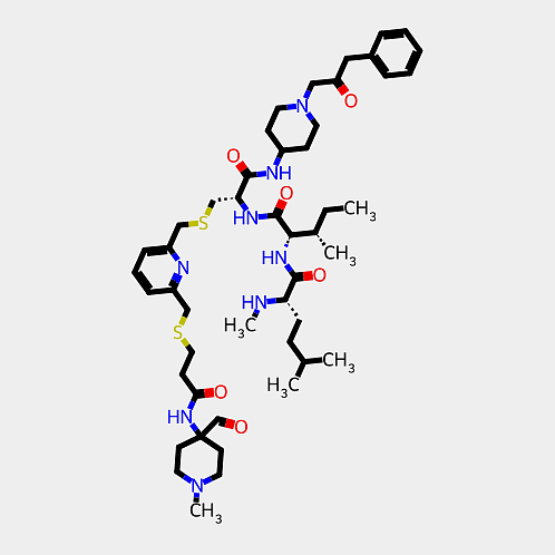 CC[C@H](C)[C@H](NC(=O)[C@H](CCC(C)C)NC)C(=O)N[C@H](CSCc1cccc(CSCCC(=O)NC2(C=O)CCN(C)CC2)n1)C(=O)NC1CCN(CC(=O)Cc2ccccc2)CC1